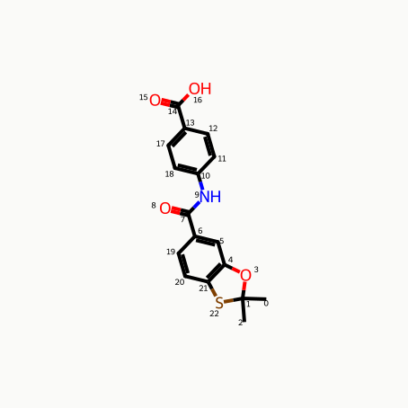 CC1(C)Oc2cc(C(=O)Nc3ccc(C(=O)O)cc3)ccc2S1